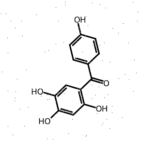 O=C(c1ccc(O)cc1)c1cc(O)c(O)cc1O